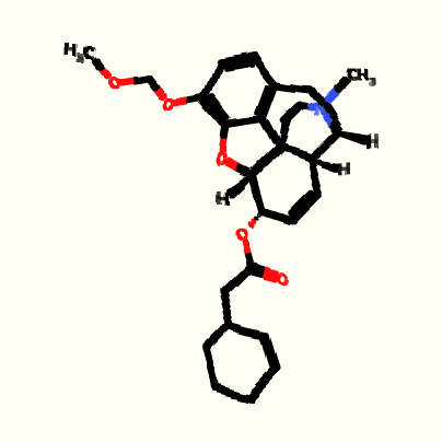 COCOc1ccc2c3c1O[C@H]1[C@@H](OC(=O)CC4CCCCC4)C=C[C@H]4[C@@H](C2)N(C)CC[C@@]341